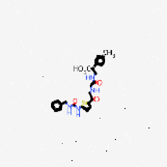 Cc1ccc(C(CNC(=O)CNCC(=O)c2ccc(NC(=O)NCc3ccccc3)s2)C(=O)O)cc1